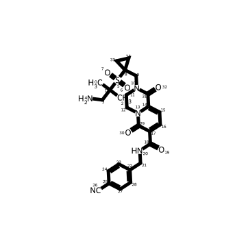 CC(C)(CN)S(=O)(=O)C1(CN2CCn3c(ccc(C(=O)NCc4ccc(C#N)cc4)c3=O)C2=O)CC1